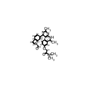 Cc1nc(NC(C)c2cccc(OCC(=O)N(C)C)c2)cc(-c2ccc3ccn(C=O)c3c2)n1